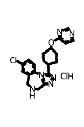 Cl.Clc1ccc2c(c1)CNCc1nnc(C3CCC(Oc4ccncn4)CC3)n1-2